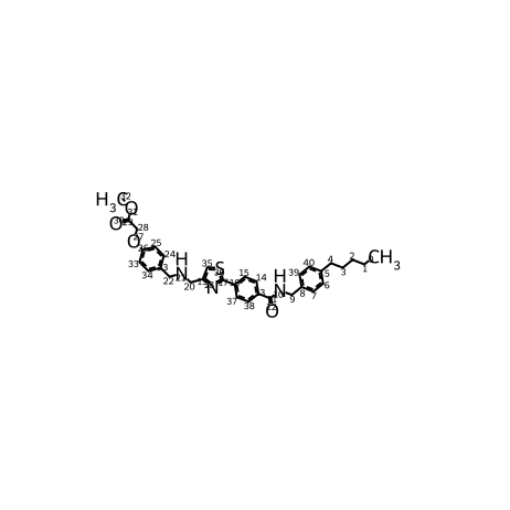 CCCCCc1ccc(CNC(=O)c2ccc(-c3nc(CNCc4ccc(OCC(=O)OC)cc4)cs3)cc2)cc1